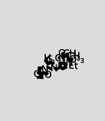 CCN1C(=O)C(C)(C)C(=O)N(C)c2cc(CN(CCn3ccc4occc4c3=O)Cc3cccs3)ccc21